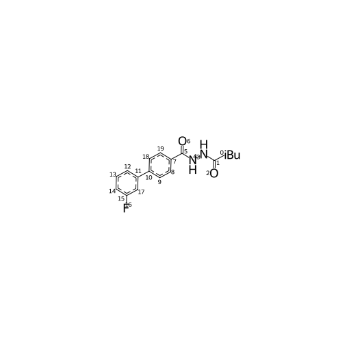 CCC(C)C(=O)NNC(=O)c1ccc(-c2cccc(F)c2)cc1